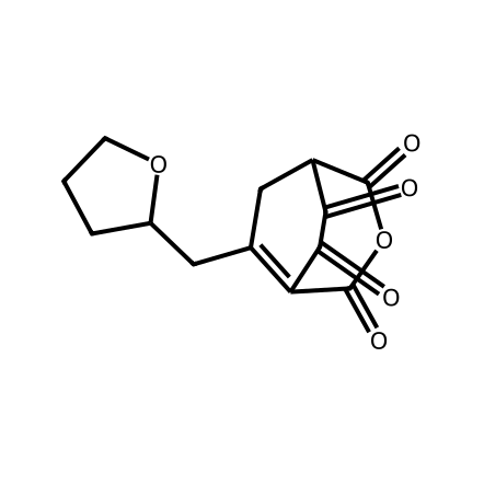 O=C1OC(=O)C2CC(CC3CCCO3)=C1C(=O)C2=O